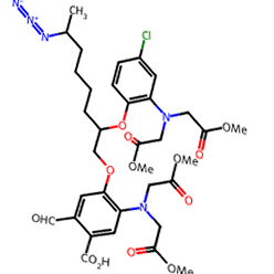 COC(=O)CN(CC(=O)OC)c1cc(C(=O)O)c(C=O)cc1OCC(CCCCC(C)N=[N+]=[N-])Oc1ccc(Cl)cc1N(CC(=O)OC)CC(=O)OC